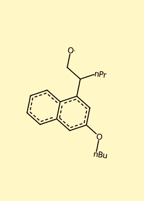 CCCCOc1cc(C(C[O])CCC)c2ccccc2c1